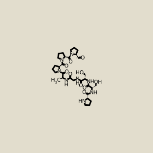 C[C@H](NC(=O)CNC(=O)[C@H](CO)NC(=O)[C@H](CO)NC(=O)[C@@H]1CCCN1)C(=O)N1CCC[C@H]1C(=O)N1CCC[C@H]1C(=O)N1CCC[C@H]1[C]=O